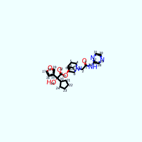 O=C(C[N+]12CCC(CC1)C(OC(=O)[C@](O)(c1ccoc1)C1CCCC1)C2)Nc1cnccn1